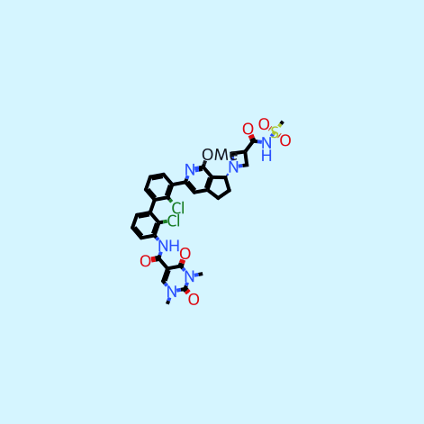 COc1nc(-c2cccc(-c3cccc(NC(=O)c4cn(C)c(=O)n(C)c4=O)c3Cl)c2Cl)cc2c1[C@H](N1CC(C(=O)NS(C)(=O)=O)C1)CC2